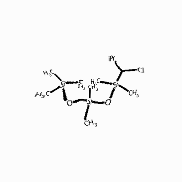 CC(C)C(Cl)[Si](C)(C)O[Si](C)(C)O[Si](C)(C)C